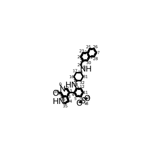 Cn1cc(-c2cc(S(C)(=O)=O)ccc2NC2CCC(NCc3ccc4ccccc4c3)CC2)c2cc[nH]c2c1=O